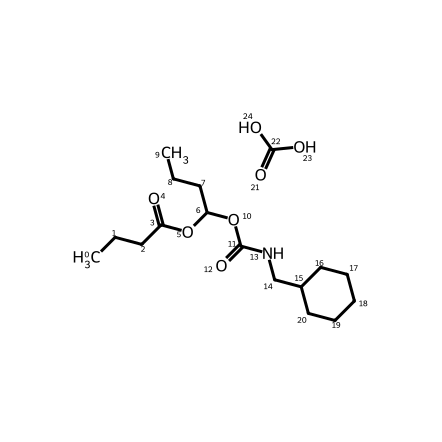 CCCC(=O)OC(CCC)OC(=O)NCC1CCCCC1.O=C(O)O